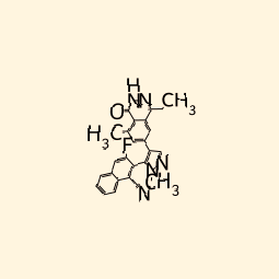 CCc1n[nH]c(=O)c2c(C)cc(-c3cnn(C)c3-c3c(F)cc4ccccc4c3C#N)cc12